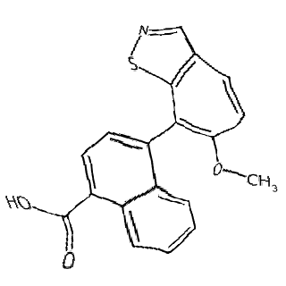 COc1ccc2cnsc2c1-c1ccc(C(=O)O)c2ccccc12